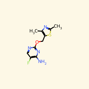 Cc1nc(C)c(COc2ncc(F)c(N)n2)s1